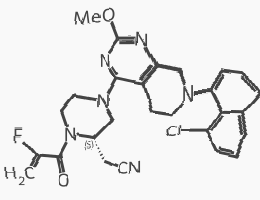 C=C(F)C(=O)N1CCN(c2nc(OC)nc3c2CCN(c2cccc4cccc(Cl)c24)C3)C[C@@H]1CC#N